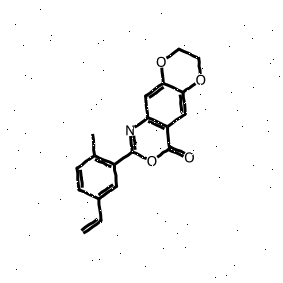 C=Cc1ccc(C)c(-c2nc3cc4c(cc3c(=O)o2)OCCO4)c1